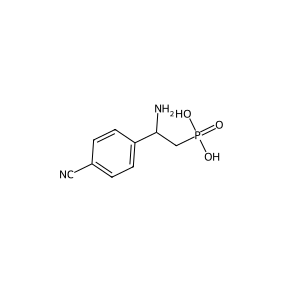 N#Cc1ccc(C(N)CP(=O)(O)O)cc1